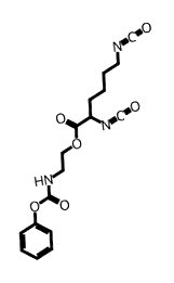 O=C=NCCCCC(N=C=O)C(=O)OCCNC(=O)Oc1ccccc1